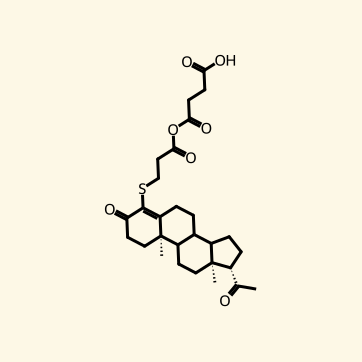 CC(=O)[C@H]1CCC2C3CCC4=C(SCCC(=O)OC(=O)CCC(=O)O)C(=O)CC[C@]4(C)C3CC[C@@]21C